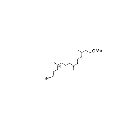 COCCC(C)CCCC(C)CCC[C@H](C)CCCC(C)C